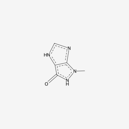 Cn1[nH]c(=O)c2[nH]cnc21